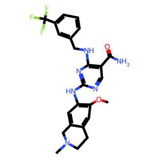 COc1cc2c(cc1Nc1ncc(C(N)=O)c(NCc3cccc(C(F)(F)F)c3)n1)CN(C)CC2